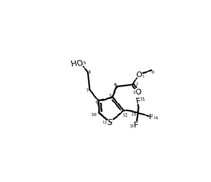 COC(=O)Cc1c(CCO)csc1C(F)(F)F